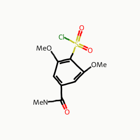 CNC(=O)c1cc(OC)c(S(=O)(=O)Cl)c(OC)c1